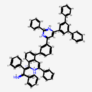 N=C(/C(=C1\NC(c2ccccc2)=Cc2c1cccc2-c1cccc(-c2cc(-c3cc(-c4ccccc4)cc(-c4ccccc4)c3)nc(-c3ccccc3)n2)c1)c1ccccc1)c1ccccc1